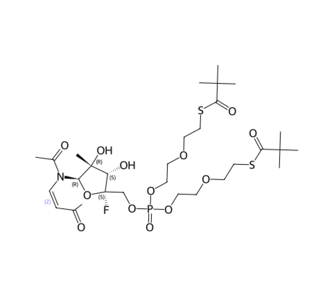 CC(=O)/C=C\N(C(C)=O)[C@@H]1O[C@](F)(COP(=O)(OCCOCCSC(=O)C(C)(C)C)OCCOCCSC(=O)C(C)(C)C)[C@@H](O)[C@@]1(C)O